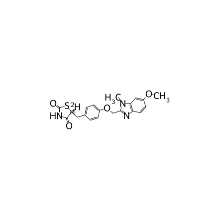 [2H][C@]1(Cc2ccc(OCc3nc4ccc(OC)cc4n3C)cc2)SC(=O)NC1=O